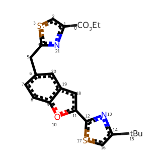 CCOC(=O)c1csc(Cc2ccc3oc(-c4nc(C(C)(C)C)cs4)cc3c2)n1